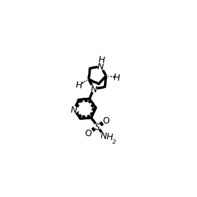 NS(=O)(=O)c1cncc(N2C[C@H]3C[C@@H]2CN3)c1